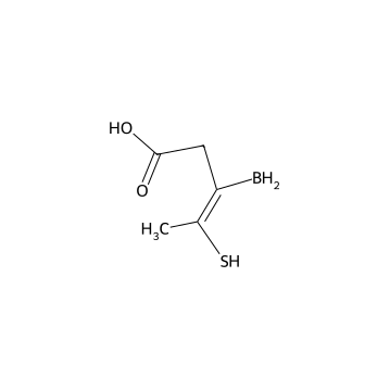 BC(CC(=O)O)=C(C)S